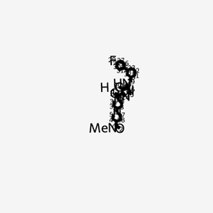 CNC(=O)C1CCN(C2CCN(C(=O)c3ncnc(NCC4CCCC(c5ccc(F)cc5)C4)c3C)CC2)CC1